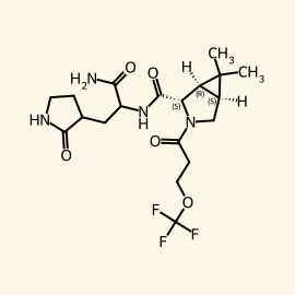 CC1(C)[C@@H]2[C@@H](C(=O)NC(CC3CCNC3=O)C(N)=O)N(C(=O)CCOC(F)(F)F)C[C@@H]21